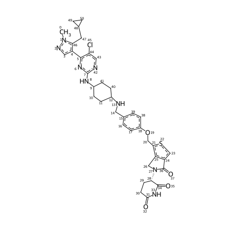 Cn1ncc(-c2nc(NC3CCC(NCc4ccc(OCc5scc6c5CN([C@H]5CCC(=O)NC5=O)C6=O)cc4)CC3)ncc2Cl)c1CC1CC1